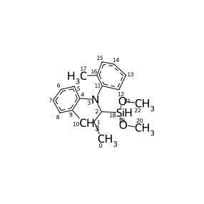 CCC(N(c1ccccc1C)c1ccccc1C)[SiH](OC)OC